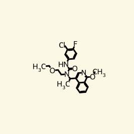 CCOCCN(C(=O)Nc1ccc(F)c(Cl)c1)C(C)c1cnc(OC)c2ccccc12